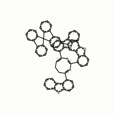 C1=C(c2cccc3c2oc2ccccc23)/N=C(c2cccc3oc4ccc(-c5ccc6c(c5)-c5ccccc5C65c6ccccc6-c6ccccc65)cc4c23)\N=C(\c2cccc3sc4ccccc4c23)CC\1